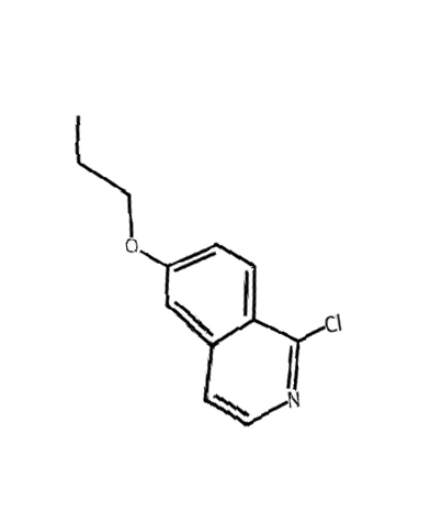 CCCOc1ccc2c(Cl)nccc2c1